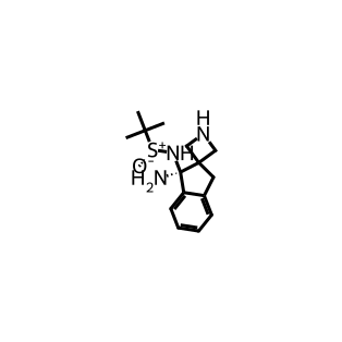 CC(C)(C)[S@@+]([O-])N[C@]1(N)c2ccccc2CC12CNC2